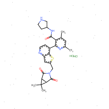 Cc1cc(C(F)(F)F)nc(-c2ccnc3cc(CN4C(=O)C5C(C4=O)C5(C)C)sc23)c1C(=O)NC1CCNC1.Cl.Cl